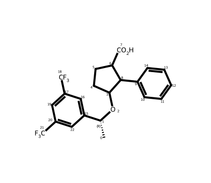 C[C@@H](OC1CCC(C(=O)O)C1c1ccccc1)c1cc(C(F)(F)F)cc(C(F)(F)F)c1